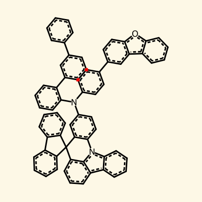 c1ccc(-c2cccc(-c3ccccc3N(c3ccc(-c4ccc5oc6ccccc6c5c4)cc3)c3ccc4c(c3)C3(c5ccccc5-c5ccccc53)c3cccc5c6ccccc6n-4c35)c2)cc1